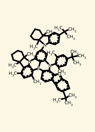 Cc1cc(C)c2c3c1B1c4ccc5c(oc6ccc(C(C)(C)C)cc65)c4N(c4c(C)cc(C(C)(C)C)cc4C)c4cc(N5c6ccc(C(C)(C)C)cc6C6(C)CCCCC56C)cc(c41)N3C1(C)CCCCC21C